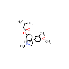 COc1ccc([C@@]23CC=C(OC(=O)CC(C)C)C[C@@H]2N(C)CC3)cc1C